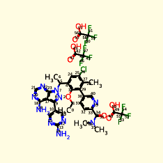 CCOc1c(C(C)n2nc(-c3cnc(N)nc3)c3c(N)ncnc32)cc(Cl)c(C)c1-c1ccc(C(=O)N(C)C)nc1.O=C(O)C(F)(F)F.O=C(O)C(F)(F)F.O=C(O)C(F)(F)F